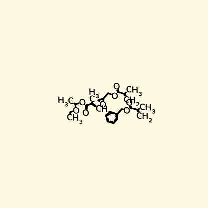 C=C(C)C(=O)OC(C)OCC.C=C(C)C(=O)OCC1CO1.C=C(C)C(=O)OCc1ccccc1